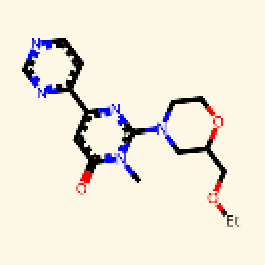 CCOCC1CN(c2nc(-c3ccncn3)cc(=O)n2C)CCO1